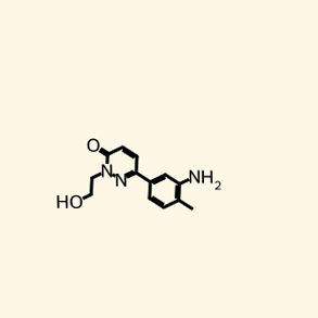 Cc1ccc(-c2ccc(=O)n(CCO)n2)cc1N